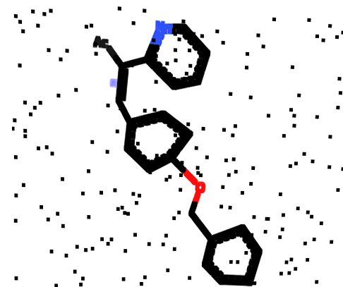 CC(=O)/C(=C/c1ccc(OCc2ccccc2)cc1)c1ccccn1